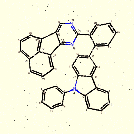 c1ccc(-n2c3ccccc3c3cc(-c4ccccc4-c4ncc5c(n4)-c4cccc6cccc-5c46)ccc32)cc1